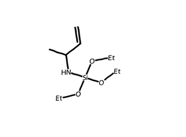 C=CC(C)N[Si](OCC)(OCC)OCC